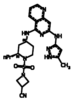 CCC[C@H]1C[C@H](Nc2nc(Nc3cc(C)[nH]n3)cc3ncccc23)CCN1S(=O)(=O)N1CC(C#N)C1